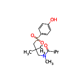 CC(C)C(=O)N(C)CC(C)(C)CS(=O)(=O)c1ccc(O)cc1